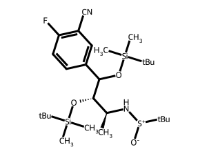 C[C@H](N[S+]([O-])C(C)(C)C)[C@H](O[Si](C)(C)C(C)(C)C)C(O[Si](C)(C)C(C)(C)C)c1ccc(F)c(C#N)c1